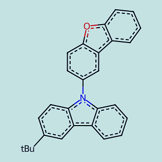 CC(C)(C)c1ccc2c(c1)c1ccccc1n2-c1ccc2oc3ccccc3c2c1